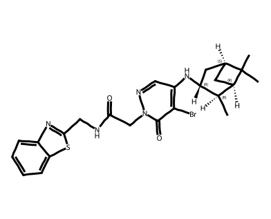 C[C@@H]1[C@H]2C[C@@H](C[C@H]1Nc1cnn(CC(=O)NCc3nc4ccccc4s3)c(=O)c1Br)C2(C)C